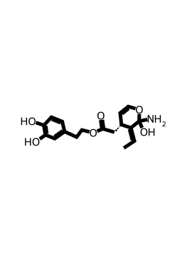 C/C=C1\[C@H](CC(=O)OCCc2ccc(O)c(O)c2)C=COC1(N)O